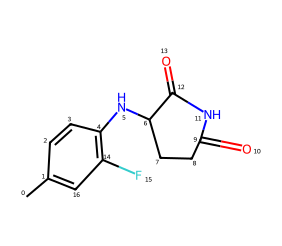 Cc1ccc(NC2CCC(=O)NC2=O)c(F)c1